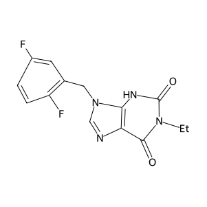 CCn1c(=O)[nH]c2c(ncn2Cc2cc(F)ccc2F)c1=O